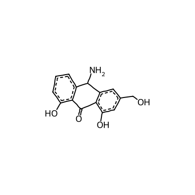 NC1c2cccc(O)c2C(=O)c2c(O)cc(CO)cc21